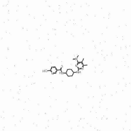 Cc1nc(NC2CCC(NC(=O)c3ccc(O)nc3)CC2)nc(N(C)C)c1C